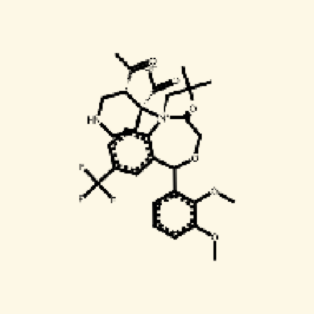 COc1cccc(C2OCC(=O)[N@@+](CC(C)(C)C)([C@@]3(C(=O)O)CCNC[C@@H]3C(C)=O)c3ccc(C(F)(F)F)cc32)c1OC